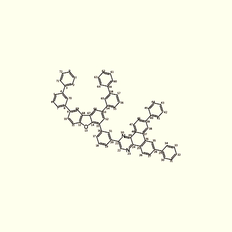 c1ccc(-c2cccc(-c3ccc4oc5c(-c6cccc(-c7cnc8c9ccc(-c%10ccccc%10)cc9c9cc(-c%10ccccc%10)ccc9c8n7)c6)cc(-c6cccc(-c7ccccc7)c6)cc5c4c3)c2)cc1